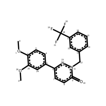 COc1ccc(-c2ccc(=O)n(Cc3cccc(C(F)(F)F)c3)n2)cc1OC